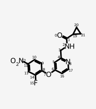 O=C(NCc1cc(Oc2ccc([N+](=O)[O-])cc2F)ccn1)C1CC1